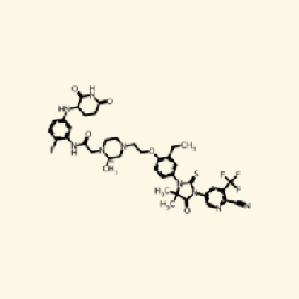 CCc1cc(N2C(=S)N(c3cnc(C#N)c(C(F)(F)F)c3)C(=O)C2(C)C)ccc1OCCN1CCN(CC(=O)Nc2cc(NC3CCC(=O)NC3=O)ccc2F)[C@H](C)C1